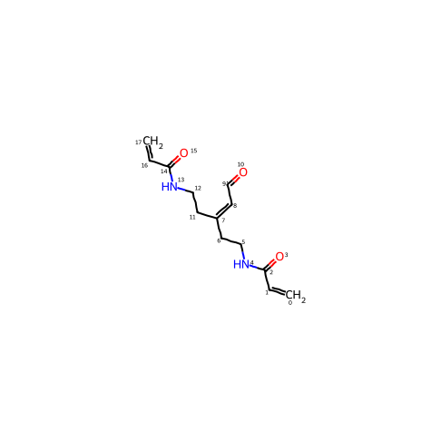 C=CC(=O)NCCC(=C[C]=O)CCNC(=O)C=C